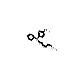 C\C=C/C=C\C=C\N(c1ccccc1)c1ccc(C)cc1